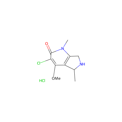 COc1c2c(n(C)c(=O)c1Cl)CNC2C.Cl